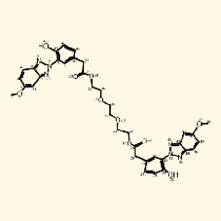 COc1ccc2nn(-c3cc(CC(=O)OCCOCCOCCOC(=O)Cc4ccc(O)c(-n5nc6ccc(OC)cc6n5)c4)ccc3O)nc2c1